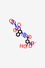 O=C(c1ccc(CO)c([N+](=O)[O-])c1)N1CCN(c2cc3c(c4ccccc24)C(=O)N(CCN2CCOCC2)C(=O)C3)CC1